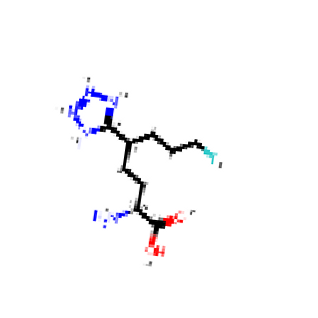 N[C@@H](CCC(CCCF)c1nnn[nH]1)C(=O)O